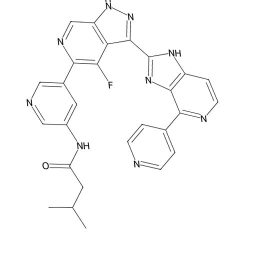 CC(C)CC(=O)Nc1cncc(-c2ncc3[nH]nc(-c4nc5c(-c6ccncc6)nccc5[nH]4)c3c2F)c1